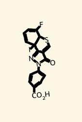 O=C(O)c1ccc(N2N=C3C(=CSC4C(F)=CC=CC34I)C2=O)cc1